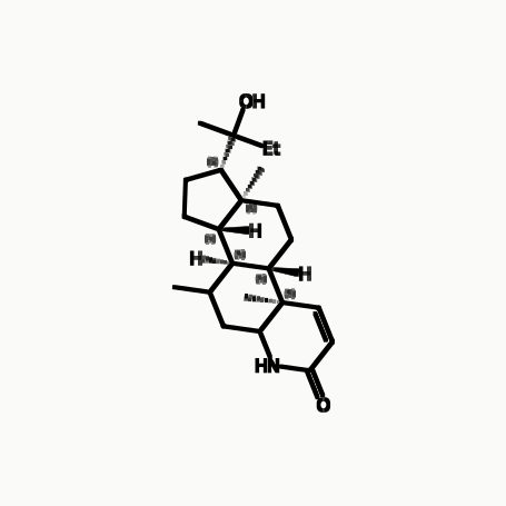 CCC(C)(O)[C@H]1CC[C@H]2[C@@H]3C(C)CC4NC(=O)C=C[C@]4(C)[C@H]3CC[C@]12C